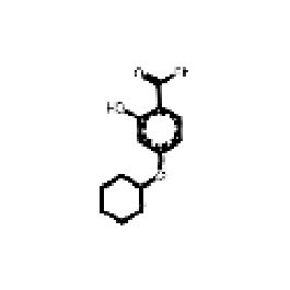 CCC(=O)c1ccc(OC2CCCCC2)cc1O